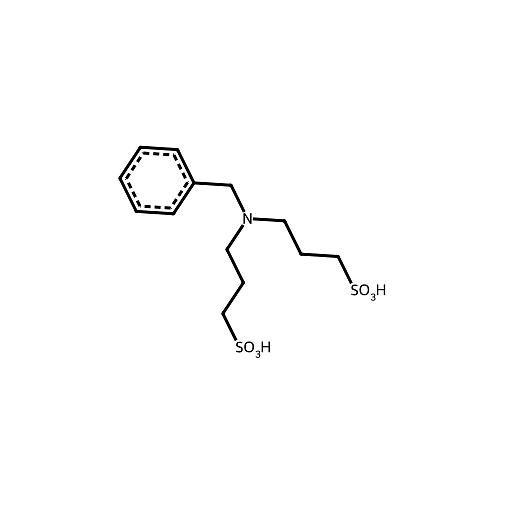 O=S(=O)(O)CCCN(CCCS(=O)(=O)O)Cc1ccccc1